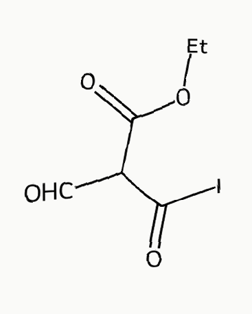 CCOC(=O)C(C=O)C(=O)I